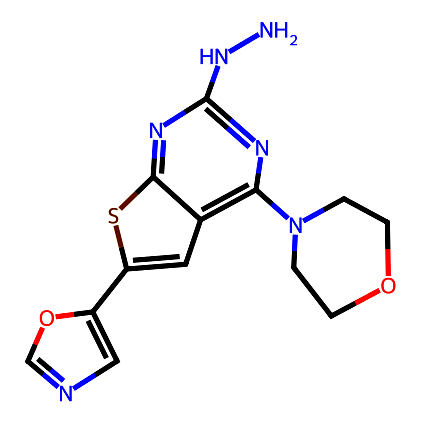 NNc1nc(N2CCOCC2)c2cc(-c3cnco3)sc2n1